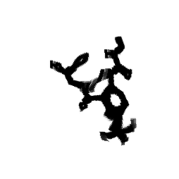 CCNC(=O)Nc1ccc(C(F)(F)F)cc1C(=O)NCC(=O)O